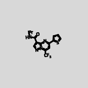 CC(C)NC(=O)c1cnn2c(C(F)(F)F)cc(-c3cccs3)nc12